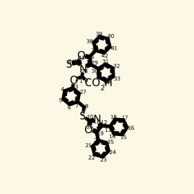 O=C(O)C(Oc1cccc(CSc2nc(-c3ccccc3)c(-c3ccccc3)o2)c1)n1c(-c2ccccc2)c(-c2ccccc2)oc1=S